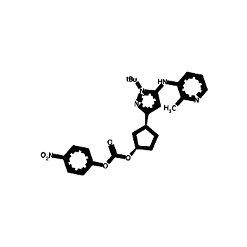 Cc1ncccc1Nc1cc([C@H]2CC[C@@H](OC(=O)Oc3ccc([N+](=O)[O-])cc3)C2)nn1C(C)(C)C